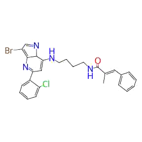 C/C(=C\c1ccccc1)C(=O)NCCCCNC1=CC(c2ccccc2Cl)=NC2=C(Br)C=NC12